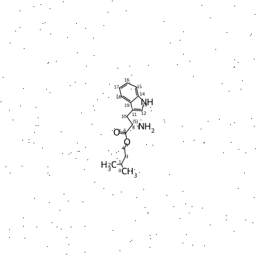 CC(C)CCOC(=O)[C@@H](N)Cc1c[nH]c2ccccc12